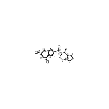 CC1c2cccn2CCN1C(=O)c1cc2c(Cl)cc(Cl)cn2n1